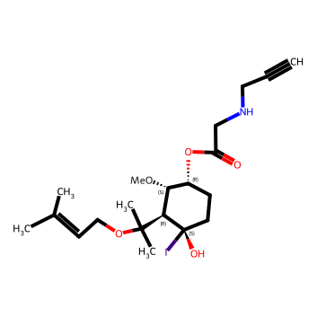 C#CCNCC(=O)O[C@@H]1CC[C@](O)(I)[C@@H](C(C)(C)OCC=C(C)C)[C@@H]1OC